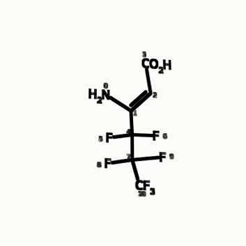 NC(=CC(=O)O)C(F)(F)C(F)(F)C(F)(F)F